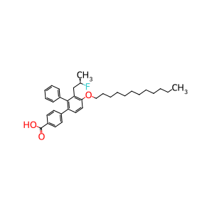 CCCCCCCCCCCCOc1ccc(-c2ccc(C(=O)O)cc2)c(-c2ccccc2)c1C[C@@H](C)F